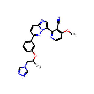 COc1ccnc(-c2cnc3ccc(-c4cccc(O[C@@H](C)Cn5cnnc5)c4)nn23)c1C#N